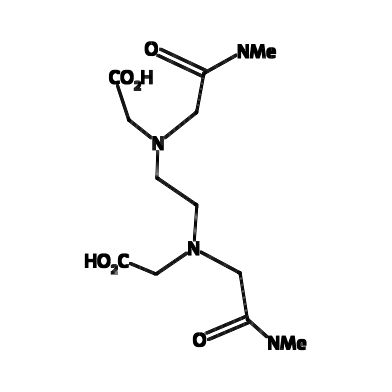 CNC(=O)CN(CCN(CC(=O)O)CC(=O)NC)CC(=O)O